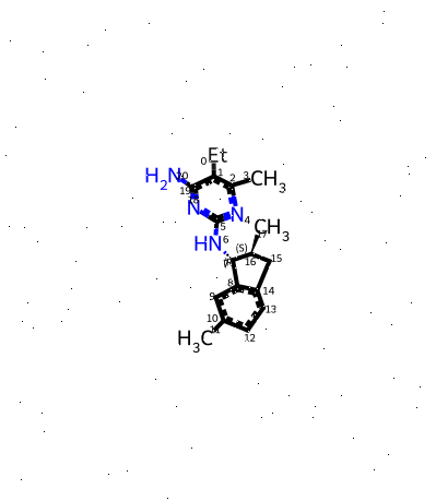 CCc1c(C)nc(N[C@H]2c3cc(C)ccc3C[C@@H]2C)nc1N